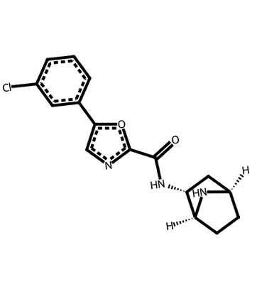 O=C(N[C@@H]1C[C@H]2CC[C@@H]1N2)c1ncc(-c2cccc(Cl)c2)o1